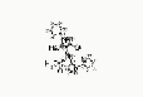 CS(=O)(=O)c1cnn(-c2ccccn2)c1N=Nc1c(O)n(-c2ccccc2)[nH]c1=O